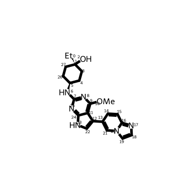 CC[C@]1(O)CC[C@@H](Nc2nc(OC)c3c(-c4ccc5nccn5c4)c[nH]c3n2)CC1